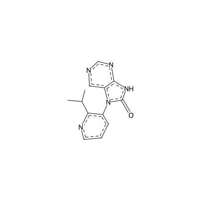 CC(C)c1ncccc1-n1c(=O)[nH]c2ncncc21